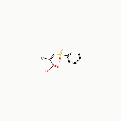 CC(=CS(=O)(=O)c1ccccc1)C(=O)O